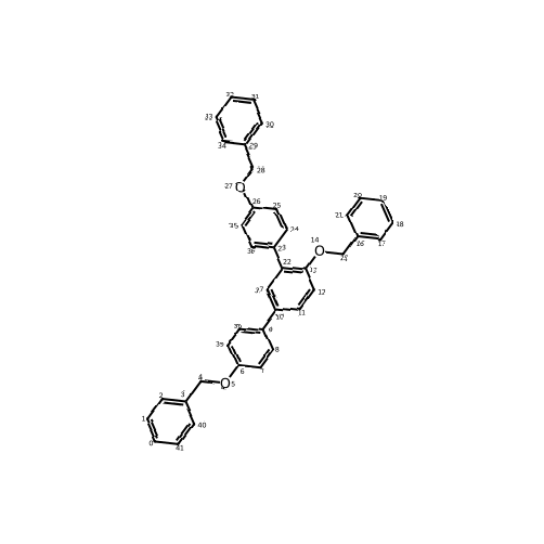 c1ccc(COc2ccc(-c3ccc(OCc4ccccc4)c(-c4ccc(OCc5ccccc5)cc4)c3)cc2)cc1